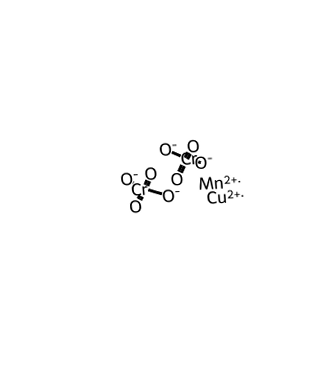 [Cu+2].[Mn+2].[O]=[Cr](=[O])([O-])[O-].[O]=[Cr](=[O])([O-])[O-]